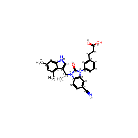 Cc1cc(C)c2c([C@@H](C)n3c(=O)n(-c4cccc(CCC(=O)O)c4)c4cc(C#N)ccc43)c[nH]c2c1